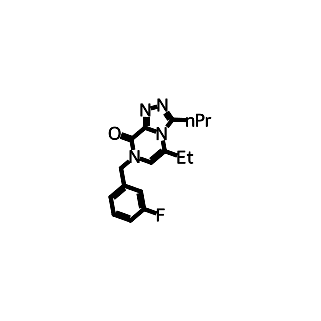 CCCc1nnc2c(=O)n(Cc3cccc(F)c3)cc(CC)n12